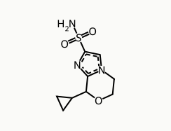 NS(=O)(=O)c1cn2c(n1)C(C1CC1)OCC2